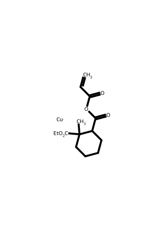 C=CC(=O)OC(=O)C1CCCCC1(C)C(=O)OCC.[Cu]